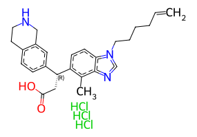 C=CCCCCn1cnc2c(C)c([C@H](CC(=O)O)c3ccc4c(c3)CNCC4)ccc21.Cl.Cl.Cl